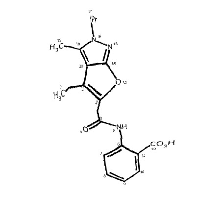 Cc1c(C(=O)Nc2ccccc2C(=O)O)oc2nn(C(C)C)c(C)c12